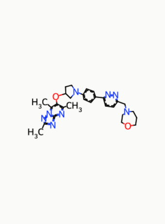 Cc1nc2nc(C)c(OC3CCN(c4ccc(-c5ccc(CN6CCCOCC6)nn5)cc4)C3)c(C)n2n1